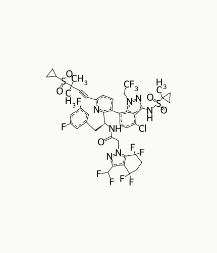 CC1(S(=O)(=O)Nc2nn(CC(F)(F)F)c3c(-c4ccc(C#CC(C)(C)S(=O)(=O)C5CC5)nc4[C@H](Cc4cc(F)cc(F)c4)NC(=O)Cn4nc(C(F)F)c5c4C(F)(F)CCC5(F)F)ccc(Cl)c23)CC1